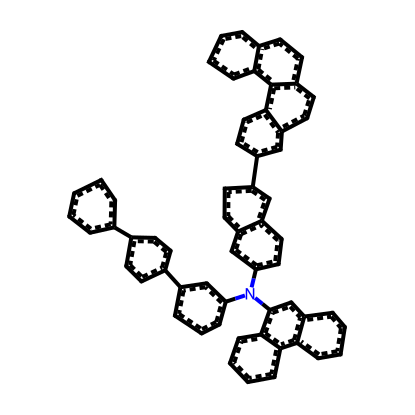 c1ccc(-c2ccc(-c3cccc(N(c4ccc5cc(-c6ccc7c(ccc8ccc9ccccc9c87)c6)ccc5c4)c4cc5ccccc5c5ccccc45)c3)cc2)cc1